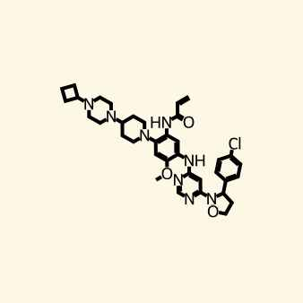 C=CC(=O)Nc1cc(Nc2cc(N3OCCC3c3ccc(Cl)cc3)ncn2)c(OC)cc1N1CCC(N2CCN(C3CCC3)CC2)CC1